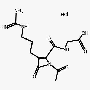 CC(=O)N1C(=O)C(CCCNC(=N)N)C1C(=O)NCC(=O)O.Cl